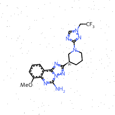 COc1cccc2c1nc(N)n1nc([C@@H]3CCCN(c4ncn(CC(F)(F)F)n4)C3)nc21